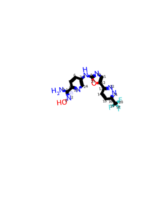 N/C(=N\O)c1ccc(Nc2ncc(-c3ccc(C(F)(F)F)nn3)o2)cn1